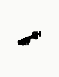 O=C(C=CCC=Cc1ccccc1O)C=CCC=Cc1ccccc1O